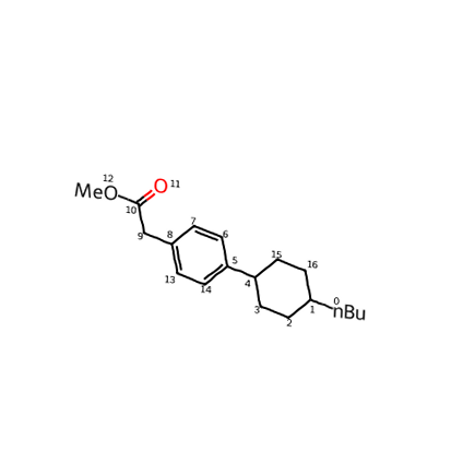 CCCCC1CCC(c2ccc(CC(=O)OC)cc2)CC1